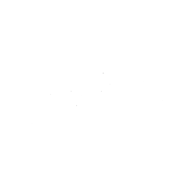 COC(=O)C(F)(F)OC(F)(F)C(F)(F)OC(F)(F)C(F)(F)OC(F)(F)C(=O)OC